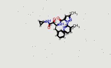 Cc1cc(C(=O)N[C@@H](Cc2ccccc2)C(=O)C(=O)NC2CC2)n(-c2ncccc2C)n1